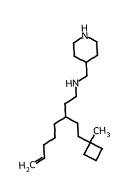 C=CCCCC(CCNCC1CCNCC1)CCC1(C)CCC1